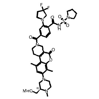 COC[C@H]1CN(c2cc(C)c3c4c(c(=O)oc3c2C)CN(C(=O)c2ccc(C(=O)NS(=O)(=O)N3CCCC3)c(N3CCC(F)(F)C3)c2)CC4)CCN1C